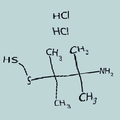 CC(C)(N)C(C)(C)SS.Cl.Cl